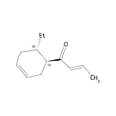 CC=CC(=O)[C@H]1CC=CC[C@@H]1CC